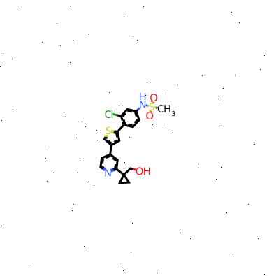 CS(=O)(=O)Nc1ccc(-c2cc(-c3ccnc(C4(CO)CC4)c3)cs2)c(Cl)c1